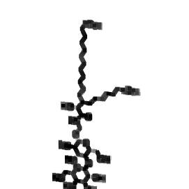 CCCCCCCCCCCC/C=C/CC[C@H](CCCCCCCCCCCCCCCCCCCCC)[C@@H](O)C(=O)NCO[C@@H]1O[C@H](CO)[C@@H](O[C@@H]2O[C@H](CO)[C@H](O)[C@H](O)[C@H]2O)[C@H](O)[C@H]1O